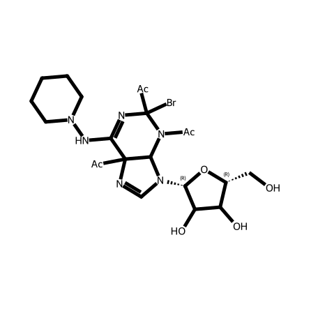 CC(=O)N1C2N([C@@H]3O[C@H](CO)C(O)C3O)C=NC2(C(C)=O)C(NN2CCCCC2)=NC1(Br)C(C)=O